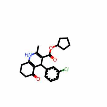 CC1=C(C(=O)OC2CCCC2)C(c2cccc(Cl)c2)C2=C(CCCC2=O)N1